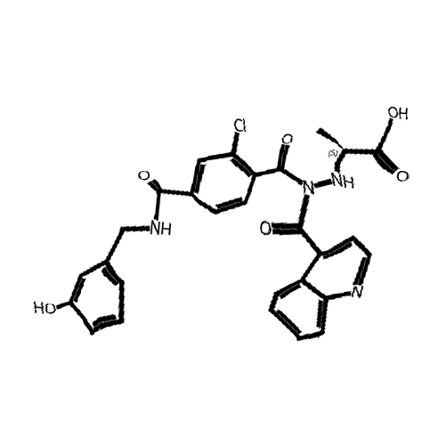 C[C@H](NN(C(=O)c1ccc(C(=O)NCc2cccc(O)c2)cc1Cl)C(=O)c1ccnc2ccccc12)C(=O)O